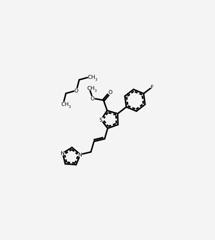 CCOCC.COC(=O)c1sc(C=CCn2ccnc2)cc1-c1ccc(F)cc1